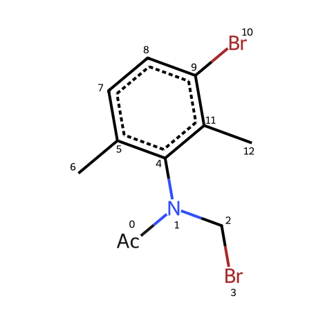 CC(=O)N(CBr)c1c(C)ccc(Br)c1C